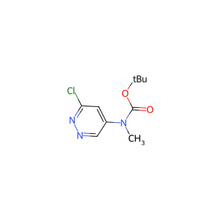 CN(C(=O)OC(C)(C)C)c1cnnc(Cl)c1